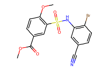 COC(=O)c1ccc(OC)c(S(=O)(=O)Nc2cc(C#N)ccc2Br)c1